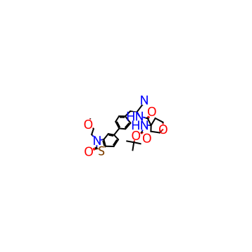 COCCn1c(=O)sc2ccc(-c3ccc(C[C@@H](C#N)NC(=O)C4(NC(=O)OC(C)(C)C)CCOCC4)cc3)cc21